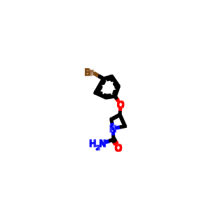 NC(=O)N1CC(Oc2ccc(Br)cc2)C1